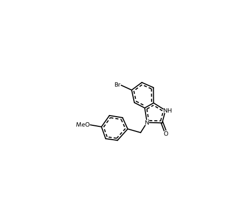 COc1ccc(Cn2c(=O)[nH]c3ccc(Br)cc32)cc1